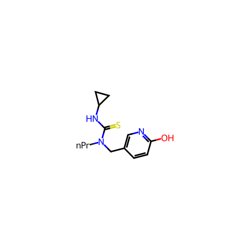 CCCN(Cc1ccc(O)nc1)C(=S)NC1CC1